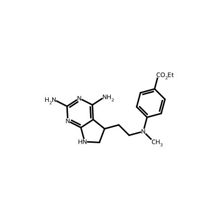 CCOC(=O)c1ccc(N(C)CCC2CNc3nc(N)nc(N)c32)cc1